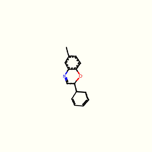 Cc1ccc2c(c1)N=CC(C1C=CC=CC1)O2